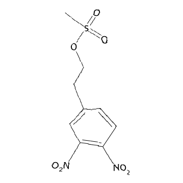 CS(=O)(=O)OCCc1ccc([N+](=O)[O-])c([N+](=O)[O-])c1